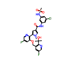 Cn1cc(C(=O)Nc2cc(Cl)cc(NS(C)(=O)=O)c2)cc1-c1ncc(F)cc1OCc1cc(F)cnc1C(C)(C)O